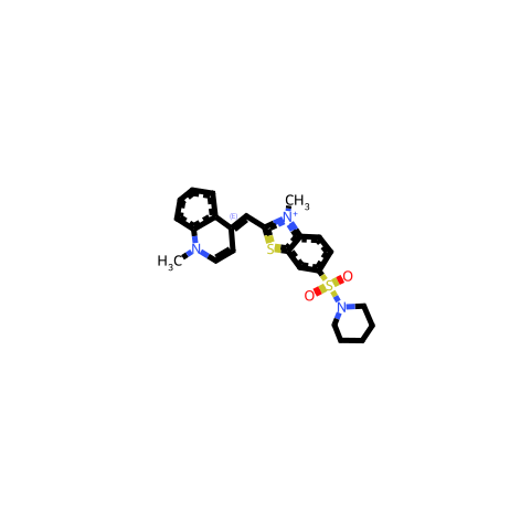 CN1C=C/C(=C\c2sc3cc(S(=O)(=O)N4CCCCC4)ccc3[n+]2C)c2ccccc21